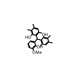 COc1cccc(C(c2c(C)cc(C)c(C)c2O)c2c(C)cc(C)c(C)c2O)c1O